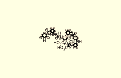 O=C(O)COc1c(C(=O)O)sc(-c2cccc(NC3CCN(S(=O)(=O)Cc4cccc(NC(=O)CCCCNC(=O)CNc5cccc6c5CN(C5CCC(=O)NC5=O)C6=O)c4)CC3)c2)c1Cl